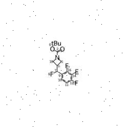 CC(C)(C)OC(=O)N1CC(C(F)c2ccc(F)c(F)c2F)C1